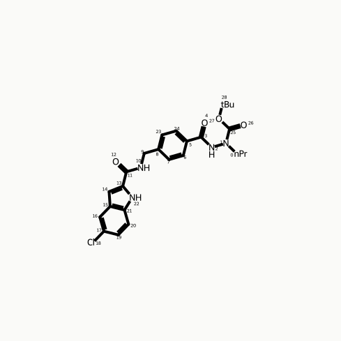 CCCN(NC(=O)c1ccc(CNC(=O)c2cc3cc(Cl)ccc3[nH]2)cc1)C(=O)OC(C)(C)C